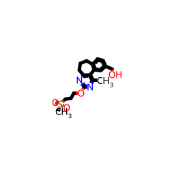 Cc1nc(OCCCS(C)(=O)=O)nc2c1-c1cc(CO)ccc1CCC2